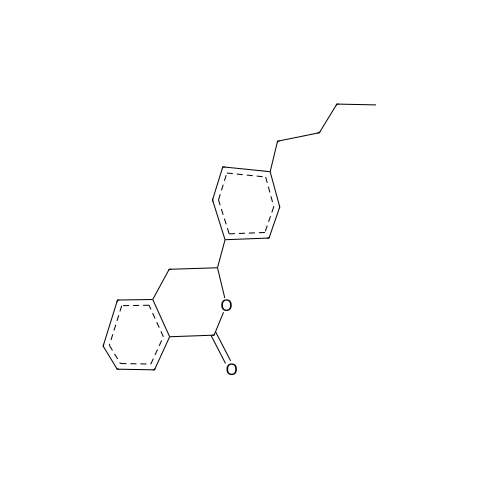 CCCCc1ccc(C2Cc3ccccc3C(=O)O2)cc1